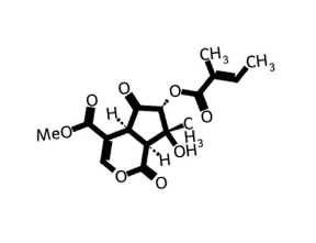 C/C=C(\C)C(=O)O[C@H]1C(=O)[C@@H]2C(C(=O)OC)=COC(=O)[C@@H]2[C@@]1(C)O